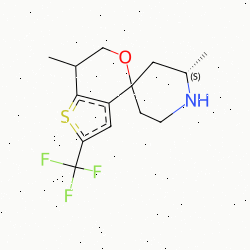 CC1COC2(CCN[C@@H](C)C2)c2cc(C(F)(F)F)sc21